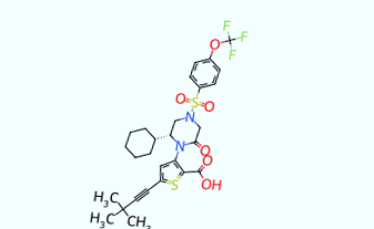 CC(C)(C)C#Cc1cc(N2C(=O)CN(S(=O)(=O)c3ccc(OC(F)(F)F)cc3)C[C@H]2C2CCCCC2)c(C(=O)O)s1